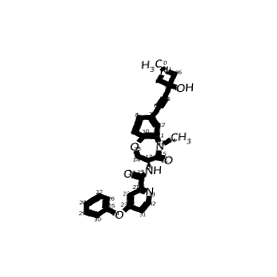 CN1CC(O)(C#Cc2ccc3c(c2)N(C)C(=O)[C@@H](NC(=O)c2cc(Oc4ccccc4)ccn2)CO3)C1